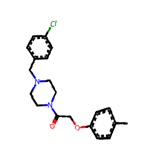 Cc1ccc(OCC(=O)N2CCN(Cc3ccc(Cl)cc3)CC2)cc1